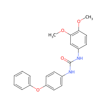 COc1ccc(NC(=O)Nc2ccc(Oc3ccccc3)cc2)cc1OC